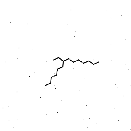 CCCCCCCC(CC)CCCCCC